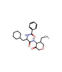 CCC1COCC(=O)C1NC(=O)C(CC1CCCCC1)NC(=O)c1ccccc1